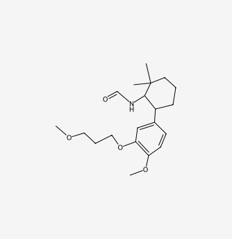 COCCCOc1cc(C2CCCC(C)(C)C2NC=O)ccc1OC